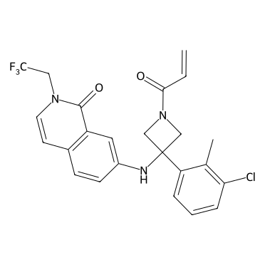 C=CC(=O)N1CC(Nc2ccc3ccn(CC(F)(F)F)c(=O)c3c2)(c2cccc(Cl)c2C)C1